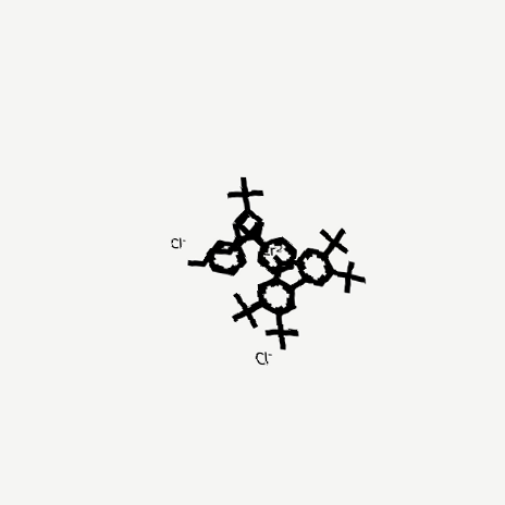 CCCCC1[C]([Zr+2][CH]2c3cc(C(C)(C)C)c(C(C)(C)C)cc3-c3cc(C(C)(C)C)c(C(C)(C)C)cc32)=C2C(C(C)(C)C)=C1C2(c1ccccc1)c1ccccc1.[Cl-].[Cl-]